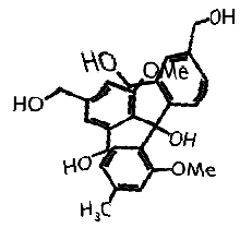 COc1cc(C)ccc1C(O)(c1ccc(CO)cc1CO)c1c(CO)cc(CO)cc1OC